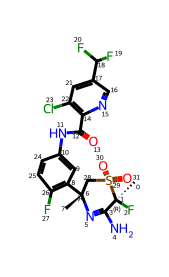 C[C@]1(F)C(N)=N[C@](C)(c2cc(NC(=O)c3ncc(C(F)F)cc3Cl)ccc2F)CS1(=O)=O